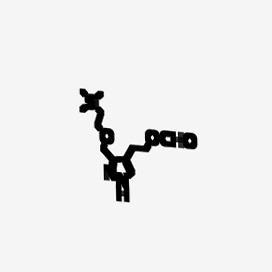 C[Si](C)(C)CCOCc1n[nH]cc1CCOC=O